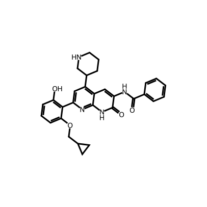 O=C(Nc1cc2c(C3CCCNC3)cc(-c3c(O)cccc3OCC3CC3)nc2[nH]c1=O)c1ccccc1